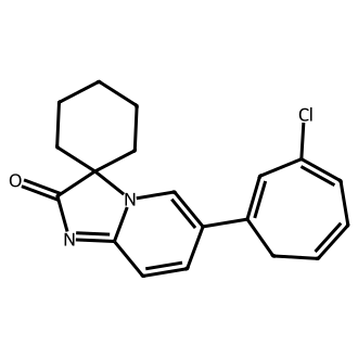 O=C1N=C2C=CC(C3=CC(Cl)=CC=CC3)=CN2C12CCCCC2